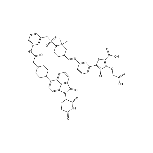 CC1(C)CC(/C=N/c2cccc(-c3sc(C(=O)O)c(OCC(=O)O)c3Cl)c2)CCN1S(=O)(=O)Cc1cccc(NC(=O)CN2CCC(c3ccc4c5c(cccc35)C(=O)N4C3CCC(=O)NC3=O)CC2)c1